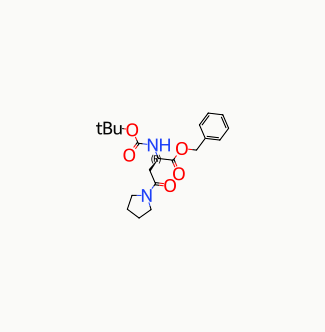 CC(C)(C)OC(=O)N[C@H](CC(=O)N1CCCC1)C(=O)OCc1ccccc1